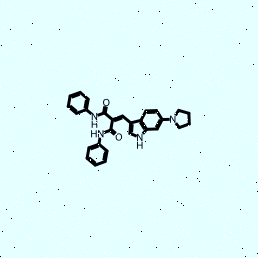 O=C(Nc1ccccc1)C(=Cc1c[nH]c2cc(N3CCCC3)ccc12)C(=O)Nc1ccccc1